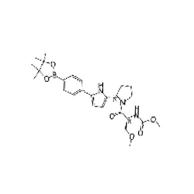 COC[C@H](NC(=O)OC)C(=O)N1CCC[C@H]1c1ccc(-c2ccc(B3OC(C)(C)C(C)(C)O3)cc2)[nH]1